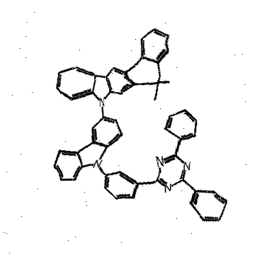 CC1(C)c2ccccc2-c2cc3c4ccccc4n(-c4ccc5c(c4)c4ccccc4n5-c4cccc(-c5nc(-c6ccccc6)nc(-c6ccccc6)n5)c4)c3cc21